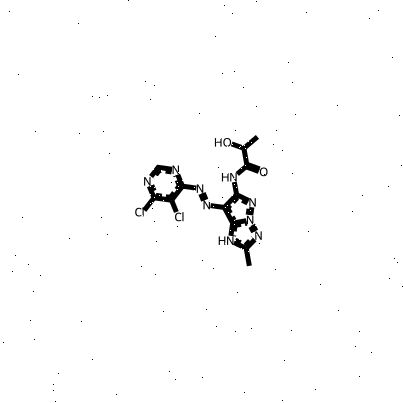 Cc1nn2nc(NC(=O)C(C)O)c(/N=N/c3ncnc(Cl)c3Cl)c2[nH]1